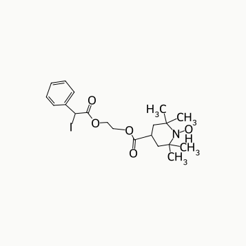 CC1(C)CC(C(=O)OCCOC(=O)C(I)c2ccccc2)CC(C)(C)N1O